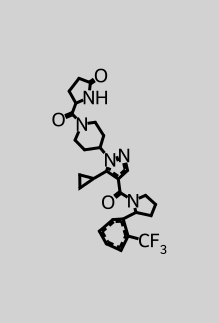 O=C1CCC(C(=O)N2CCC(n3ncc(C(=O)N4CCCC4c4ccccc4C(F)(F)F)c3C3CC3)CC2)N1